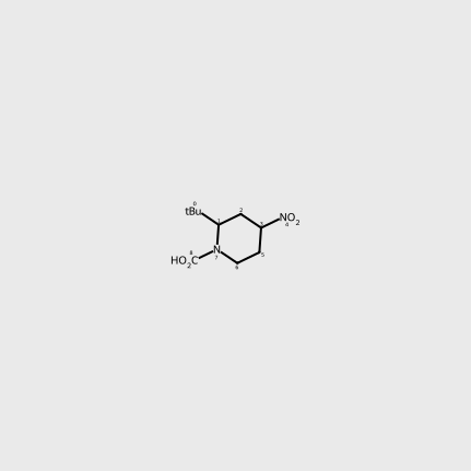 CC(C)(C)C1CC([N+](=O)[O-])CCN1C(=O)O